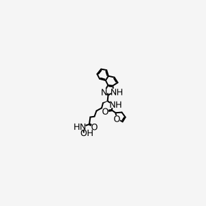 O=C(CCCCC[C@H](NC(=O)C1CC=CO1)c1nc2c(ccc3ccccc32)[nH]1)NO